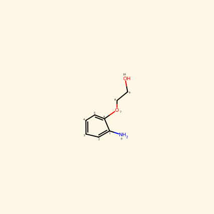 Nc1ccccc1OCCO